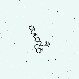 c1ccc(CNCc2ccc(CN(Cc3nccs3)C3CCCc4cccnc43)cc2)nc1